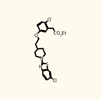 CCOC(=O)Cc1cc(OCCC2CCN(c3nc4ccc(Cl)cc4s3)CC2)ccc1Cl